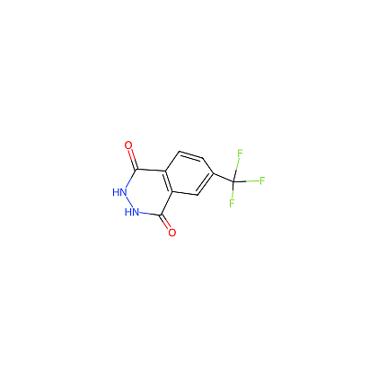 O=c1[nH][nH]c(=O)c2cc(C(F)(F)F)ccc12